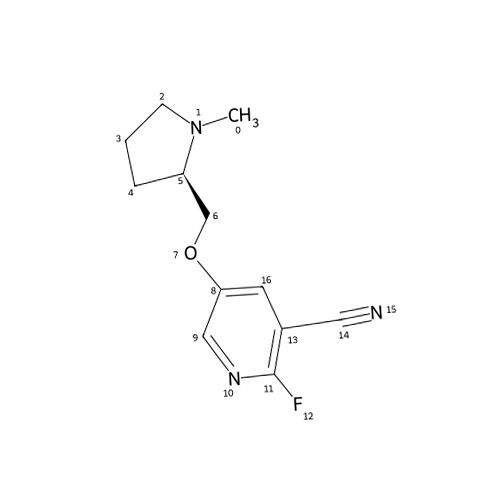 CN1CCC[C@@H]1COc1cnc(F)c(C#N)c1